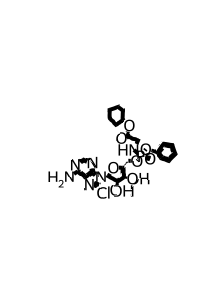 Nc1ncnc2c1nc(Cl)n2[C@@H]1O[C@H](COP(=O)(NCC(=O)OC2CCCCC2)Oc2ccccc2)[C@@H](O)[C@H]1O